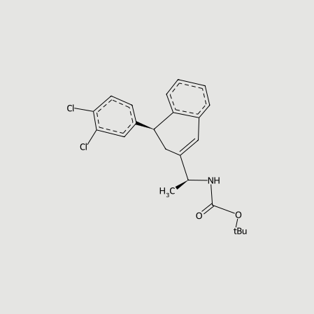 C[C@H](NC(=O)OC(C)(C)C)C1=Cc2ccccc2[C@H](c2ccc(Cl)c(Cl)c2)C1